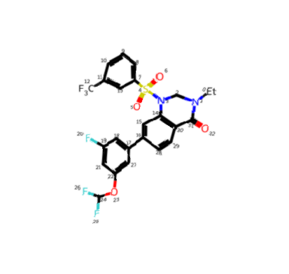 CCN1CN(S(=O)(=O)c2cccc(C(F)(F)F)c2)c2cc(-c3cc(F)cc(OC(F)F)c3)ccc2C1=O